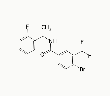 CC(NC(=O)c1ccc(Br)c(C(F)F)c1)c1ccccc1F